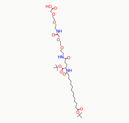 CC(C)(C)OC(=O)CCCCCCCCCCCCC(=O)NC(CCC(=O)NCCOCCOCC(=O)NCCOCCOCC(=O)O)C(=O)OC(C)(C)C